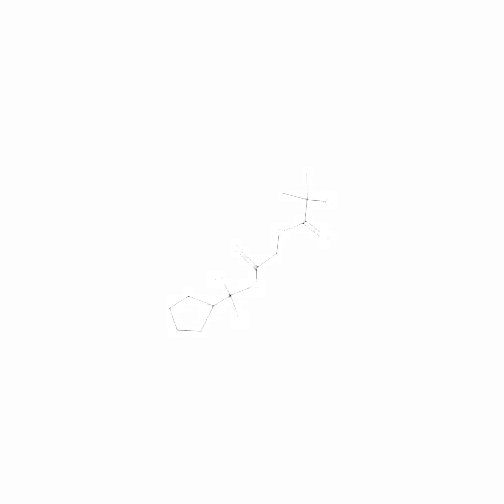 CCC(C)(C)C(=O)OCC(=O)OC(CC)(CC)C1CCCC1